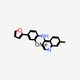 COc1cc(-c2ccco2)ccc1Nc1ccnc2cc(C)ccc12